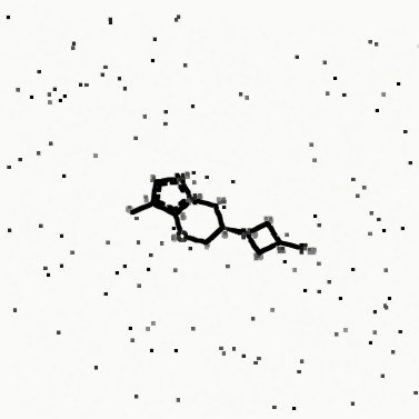 Cc1cnn2c1OC[C@H](N1CC(F)C1)C2